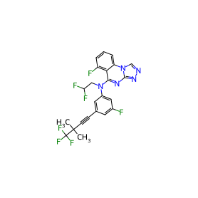 CC(C)(C#Cc1cc(F)cc(N(CC(F)F)c2nc3nncn3c3cccc(F)c23)c1)C(F)(F)F